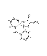 CCCC1(NC=O)c2ccccc2Oc2ccccc21